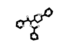 O=C(OC(C(=O)c1ccccn1)C1CCC(c2ccccc2)NC1)c1ccccc1